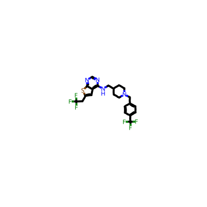 FC(F)(F)Cc1cc2c(NCC3CCN(Cc4ccc(C(F)(F)F)cc4)CC3)ncnc2s1